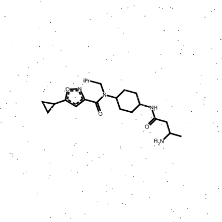 CC(C)CN(C(=O)c1cc(C2CC2)on1)C1CCC(NC(=O)CC(C)N)CC1